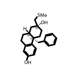 CSC[C@@]1(O)CC[C@@]2(Cc3ccccc3)c3ccc(O)cc3CC[C@@H]2C1